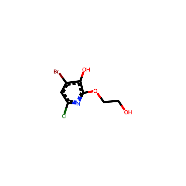 OCCOc1nc(Cl)cc(Br)c1O